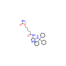 Cn1ncc(NC(=O)CCCCOC(N)=O)c1NC(c1ccccc1)(c1ccccc1)c1ccccc1